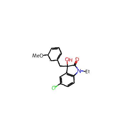 CCN1C(=O)C(O)(CC2=CC=CC(OC)[CH]2)c2cc(Cl)ccc21